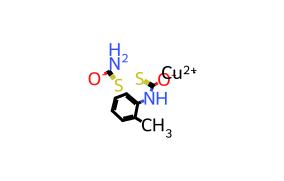 Cc1ccccc1NC([O-])=S.NC([O-])=S.[Cu+2]